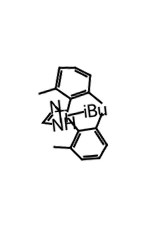 CC[CH](C)[Ti]1([c]2c(C)cccc2C)([c]2c(C)cccc2C)[N]=C[NH]1